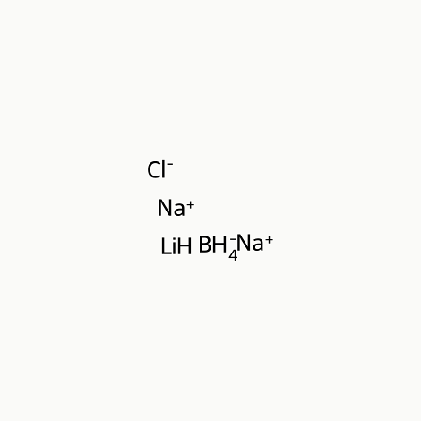 [BH4-].[Cl-].[LiH].[Na+].[Na+]